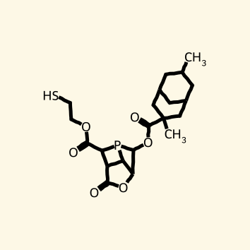 CC1CC2CC(C1)CC(C)(C(=O)OC1C3OC(=O)C4C(C(=O)OCCS)P1C34)C2